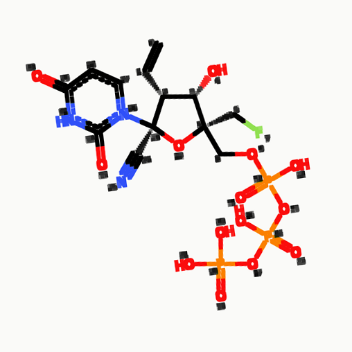 C=C[C@@H]1[C@H](O)[C@@](CF)(COP(=O)(O)OP(=O)(O)OP(=O)(O)O)O[C@@]1(C#N)n1ccc(=O)[nH]c1=O